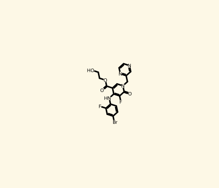 O=C(OCCO)c1cn(Cc2cnccn2)c(=O)c(F)c1Nc1ccc(Br)cc1F